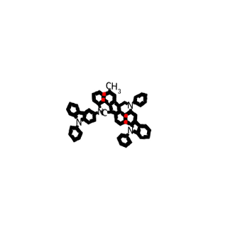 Cc1ccc2c(CN(c3ccccc3)c3ccc4c(c3)c3ccccc3n4-c3ccccc3)c3ccccc3c(CN(c3ccccc3)c3ccc4c(c3)c3ccccc3n4-c3ccccc3)c2c1